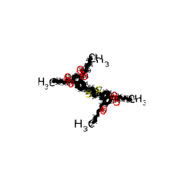 CCCCCC(=O)CC1CCC(OC(=O)CCCCC)c2ccc(-c3cc4sc(-c5ccc6c(c5)C(OC(=O)CCCCC)CCC6OC(=O)CCCCC)cc4s3)cc21